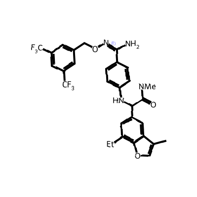 CCc1cc(C(Nc2ccc(/C(N)=N\OCc3cc(C(F)(F)F)cc(C(F)(F)F)c3)cc2)C(=O)NC)cc2c(C)coc12